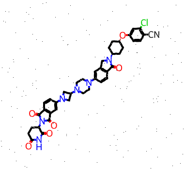 N#Cc1ccc(O[C@H]2CC[C@H](N3Cc4cc(N5CCN(C6CN(c7ccc8c(c7)C(=O)N(C7CCC(=O)NC7=O)C8=O)C6)CC5)ccc4C3=O)CC2)cc1Cl